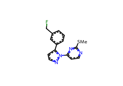 CSc1nccc(-n2nccc2-c2cccc(CF)c2)n1